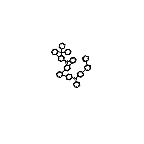 c1ccc(-c2cccc(-c3ccc(N(c4ccccc4)c4ccc(-c5ccccc5-c5ccc6c7ccccc7n(-c7ccc8c(c7)C(c7ccccc7)(c7ccccc7)c7ccccc7-8)c6c5)cc4)cc3)c2)cc1